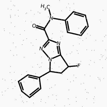 CN(C(=O)c1nc2n(n1)C(c1ccccc1)CC2F)c1ccccc1